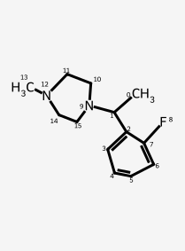 CC(c1ccccc1F)N1CCN(C)CC1